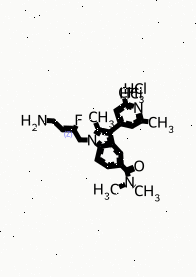 Cc1cc(-c2c(C)n(C/C(F)=C/CN)c3ccc(C(=O)N(C)C)cc23)cc(C)n1.Cl.Cl